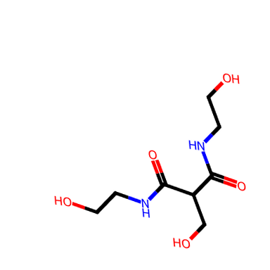 O=C(NCCO)C(CO)C(=O)NCCO